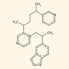 CC(CCC(C)c1cncc[n+]1CC(C)c1ccc2sccc2c1)c1cccnc1